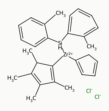 CC1=C(C)C(C)[C]([Zr+2]([C]2=CC=CC2)[SiH](c2ccccc2C)c2ccccc2C)=C1C.[Cl-].[Cl-]